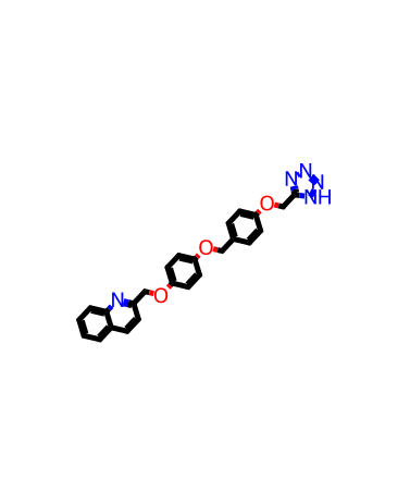 c1ccc2nc(COc3ccc(OCc4ccc(OCc5nnn[nH]5)cc4)cc3)ccc2c1